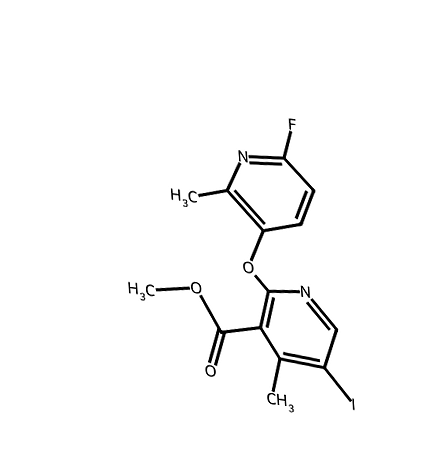 COC(=O)c1c(Oc2ccc(F)nc2C)ncc(I)c1C